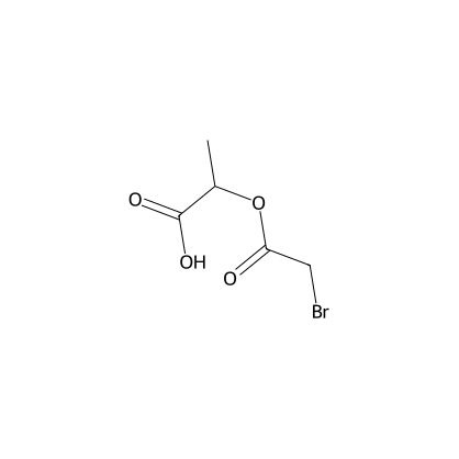 CC(OC(=O)CBr)C(=O)O